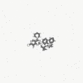 CC(C)(C)[Si](OCC1(COc2nc(N3CCCCC3)c3cnc(Cl)c(F)c3n2)CC1)(c1ccccc1)c1ccccc1